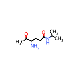 CC(=O)[C@@H](N)CCC(=O)NC(C)C